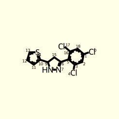 Clc1cc(Cl)c(C2=NNC(c3cccs3)C2)c(Cl)c1